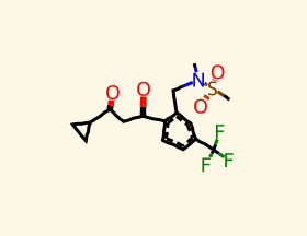 CN(Cc1cc(C(F)(F)F)ccc1C(=O)CC(=O)C1CC1)S(C)(=O)=O